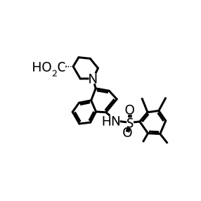 Cc1cc(C)c(C)c(S(=O)(=O)Nc2ccc(N3CCC[C@@H](C(=O)O)C3)c3ccccc23)c1C